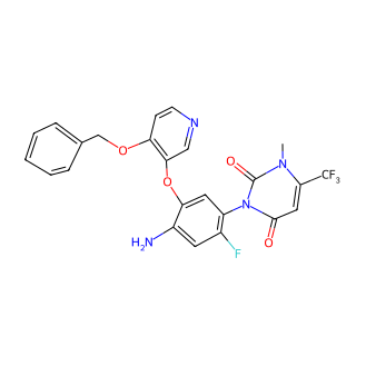 Cn1c(C(F)(F)F)cc(=O)n(-c2cc(Oc3cnccc3OCc3ccccc3)c(N)cc2F)c1=O